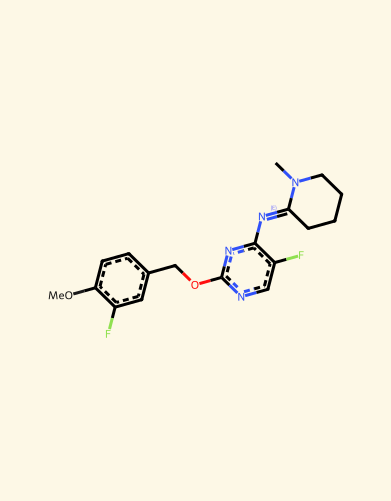 COc1ccc(COc2ncc(F)c(/N=C3\CCCCN3C)n2)cc1F